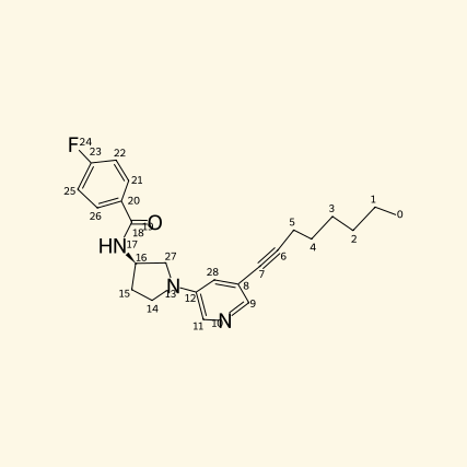 CCCCCCC#Cc1cncc(N2CC[C@@H](NC(=O)c3ccc(F)cc3)C2)c1